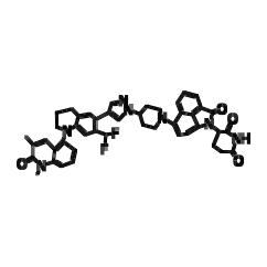 Cc1cc2c(N3CCCc4cc(-c5cnn(C6CCN(c7ccc8c9c(cccc79)C(=O)N8C7CCC(=O)NC7=O)CC6)c5)c(C(F)F)cc43)cccc2n(C)c1=O